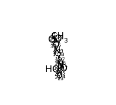 CS(=O)(=O)c1ccc(N2CCC(C3CCN(C(=O)C(O)c4ccccc4)CC3)CC2)cc1